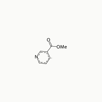 COC(=O)c1[c]ccnc1